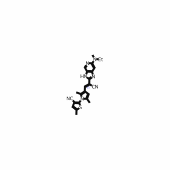 CCN(C)c1cc2nc(/C(C#N)=C/c3cc(C)n(-c4sc(C)cc4C#N)c3C)[nH]c2cn1